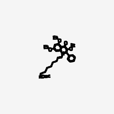 CCCCCCCCCCCCCCCCC=Cn1c(-c2ccccc2)c(OCC)c(=O)c2c(OCC)cc(OCC)cc21